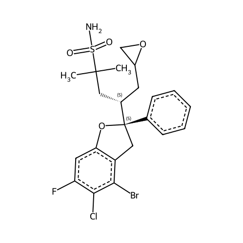 CC(C)(C[C@H](CC1CO1)[C@]1(c2ccccc2)Cc2c(cc(F)c(Cl)c2Br)O1)S(N)(=O)=O